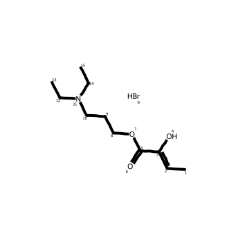 Br.CC=C(O)C(=O)OCCCN(CC)CC